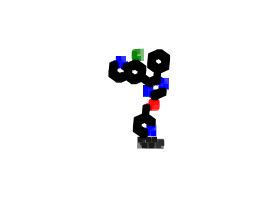 CNc1ccc(COc2cnc(-c3ccccc3)c(-c3cc(Cl)c4ncccc4c3)n2)cn1